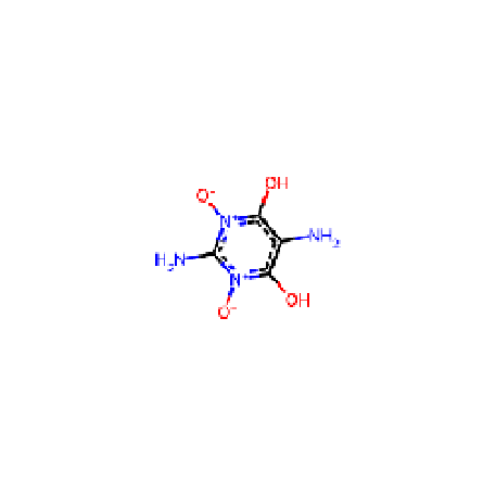 Nc1c(O)[n+]([O-])c(N)[n+]([O-])c1O